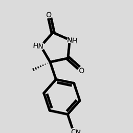 C[C@]1(c2ccc(C#N)cc2)NC(=O)NC1=O